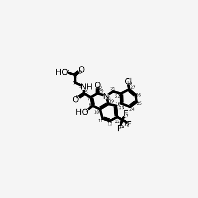 O=C(O)CNC(=O)c1c(O)c2ccc(C(F)(F)F)cc2n(Cc2ccccc2Cl)c1=O